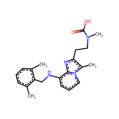 Cc1cccc(C)c1CNc1cccn2c(C)c(CCN(C)C(=O)O)nc12